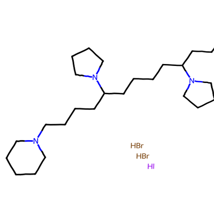 Br.Br.CCCC(CCCCC(CCCCN1CCCCC1)N1CCCC1)N1CCCC1.I